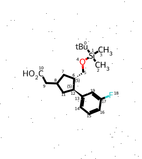 CC(C)(C)[Si](C)(C)OC[C@H]1CC(CC(=O)O)C[C@@H]1c1cccc(F)c1